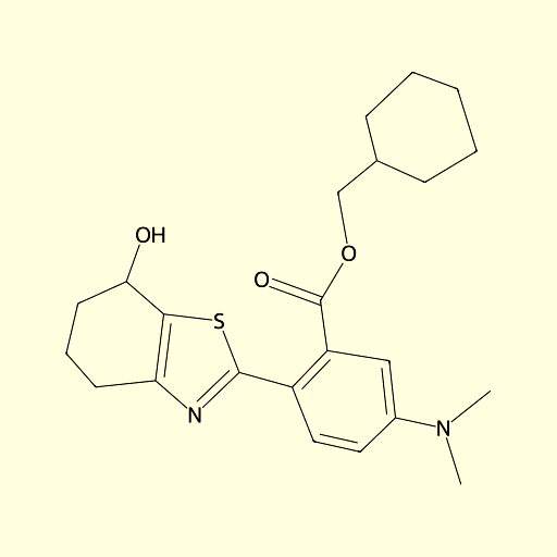 CN(C)c1ccc(-c2nc3c(s2)C(O)CCC3)c(C(=O)OCC2CCCCC2)c1